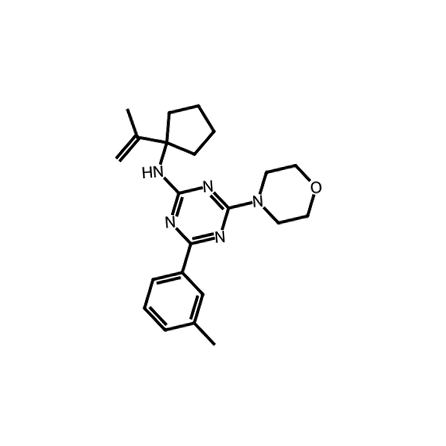 C=C(C)C1(Nc2nc(-c3cccc(C)c3)nc(N3CCOCC3)n2)CCCC1